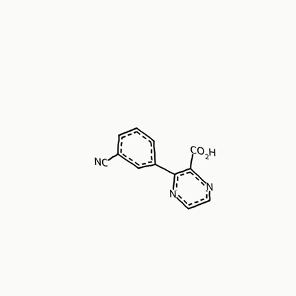 N#Cc1cccc(-c2nccnc2C(=O)O)c1